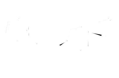 Cl.NC[C@]1(O)CC[C@@H](COCc2ccccc2)CC1